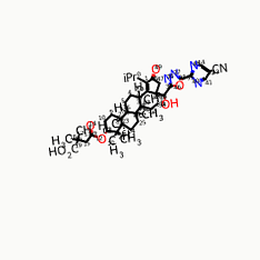 CC(C)C1=C2[C@H]3CC[C@@H]4[C@@]5(C)CC[C@H](OC(=O)CC(C)(C)C(=O)O)C(C)(C)[C@@H]5CC[C@@]4(C)[C@]3(C)CC[C@@]2([C@H](O)c2nnc(-c3ncc(C#N)cn3)o2)CC1=O